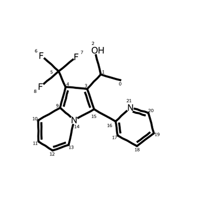 CC(O)c1c(C(F)(F)F)c2ccccn2c1-c1ccccn1